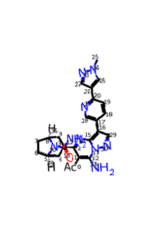 CC(=O)c1c([C@H]2C[C@H]3CC[C@@H](C2)N3C(N)=O)nc2c(-c3ccc(-c4cnn(C)c4)nc3)cnn2c1N